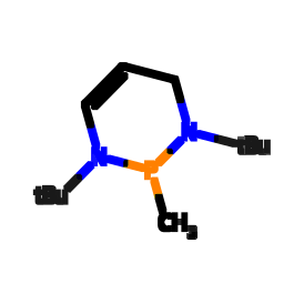 CP1N(C(C)(C)C)C=CCN1C(C)(C)C